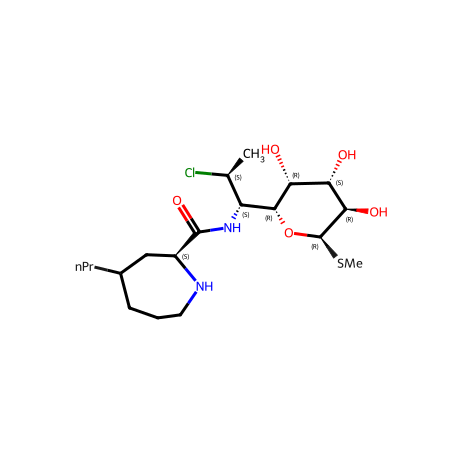 CCCC1CCCN[C@H](C(=O)N[C@@H]([C@H]2O[C@H](SC)[C@H](O)[C@@H](O)[C@H]2O)[C@H](C)Cl)C1